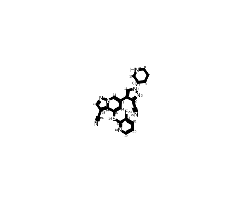 N#Cc1nn([C@H]2CCCNC2)cc1-c1cc(Sc2ncccc2F)c2c(C#N)cnn2c1